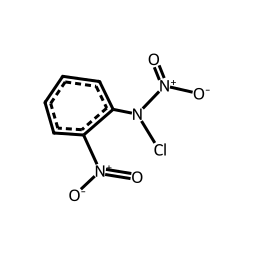 O=[N+]([O-])c1ccccc1N(Cl)[N+](=O)[O-]